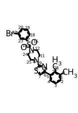 Cc1cccc(-c2csc(N3CCN(S(=O)(=O)c4cccc(Br)c4)CC3)n2)c1C